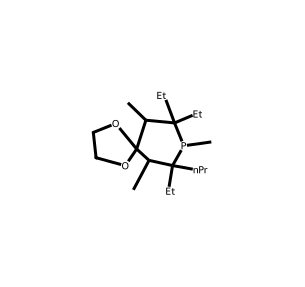 CCCC1(CC)C(C)C2(OCCO2)C(C)C(CC)(CC)P1C